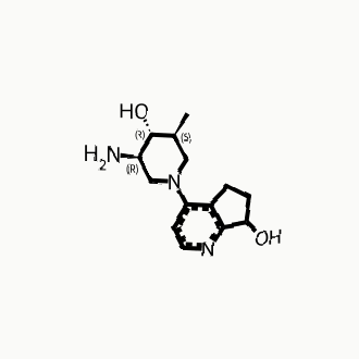 C[C@H]1CN(c2ccnc3c2CCC3O)C[C@@H](N)[C@@H]1O